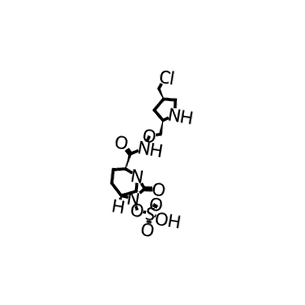 O=C(NOC[C@H]1C[C@@H](CCl)CN1)[C@@H]1CC[C@@H]2CN1C(=O)N2OS(=O)(=O)O